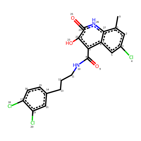 Cc1cc(Cl)cc2c(C(=O)NCCCc3ccc(Cl)c(Cl)c3)c(O)c(=O)[nH]c12